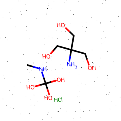 CNC(O)(O)O.Cl.NC(CO)(CO)CO